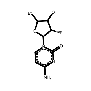 CCC1OC(n2ccc(N)nc2=O)C([18F])C1O